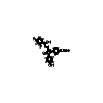 COc1ccc(C2C(CCC(O)c3ccc(F)cc3F)C(=O)N2c2ccc(O)cc2)cc1